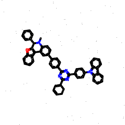 CN1c2ccc(-c3ccc(-c4nc(C5=CC=CCC5)nc(-c5ccc(-n6c7ccccc7c7ccccc76)cc5)n4)cc3)cc2-c2c(oc3ccccc23)C1c1ccccc1